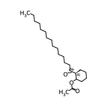 CCCCCCCCCCCCCC[S@@+]([O-])[C@H]1CCCCC1OC(C)=O